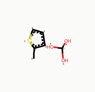 Cc1cccs1.OC(O)O